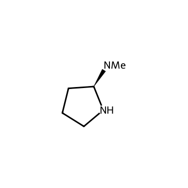 CN[C@@H]1CCCN1